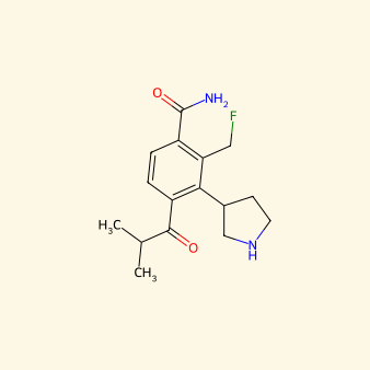 CC(C)C(=O)c1ccc(C(N)=O)c(CF)c1C1CCNC1